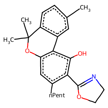 CCCCCc1cc2c(c(O)c1C1=NCCO1)-c1cc(C)ccc1C(C)(C)O2